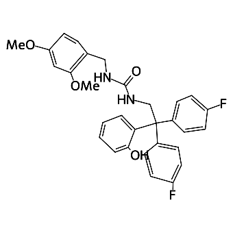 COc1ccc(CNC(=O)NCC(c2ccc(F)cc2)(c2ccc(F)cc2)c2ccccc2O)c(OC)c1